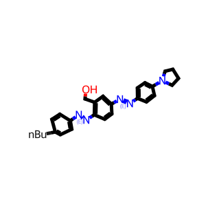 CCCCc1ccc(/N=N/c2ccc(/N=N/c3ccc(N4CCCC4)cc3)cc2CO)cc1